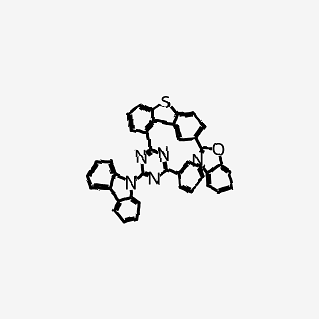 c1ccc(-c2nc(-c3cccc4sc5ccc(-c6nc7ccccc7o6)cc5c34)nc(-n3c4ccccc4c4ccccc43)n2)cc1